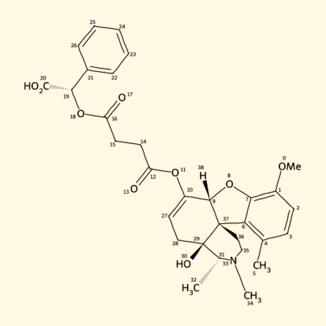 COc1ccc(C)c2c1O[C@H]1C(OC(=O)CCC(=O)O[C@H](C(=O)O)c3ccccc3)=CC[C@@]3(O)[C@@H](C)N(C)CC[C@]213